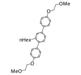 CCCCCCc1cc(-c2ccc(OCCOC)cc2)ccc1-c1ccc(OCCOC)cc1